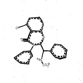 O=C(O)NC(c1ccccc1)c1nc2cccc(Cl)c2c(=O)n1-c1ccccc1